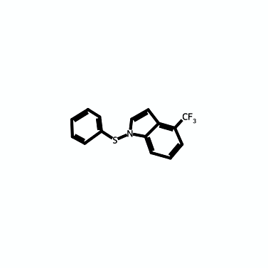 FC(F)(F)c1cccc2c1ccn2Sc1ccccc1